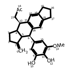 C=C1CCC2C1[C@H](c1cc(O)c(O)c(OC)c1)c1cc3c(cc1[C@@H]2CC(C)=O)CCC3